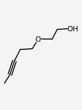 CC#CCCOCCO